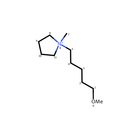 COCCCCC[N+]1(C)CCCC1